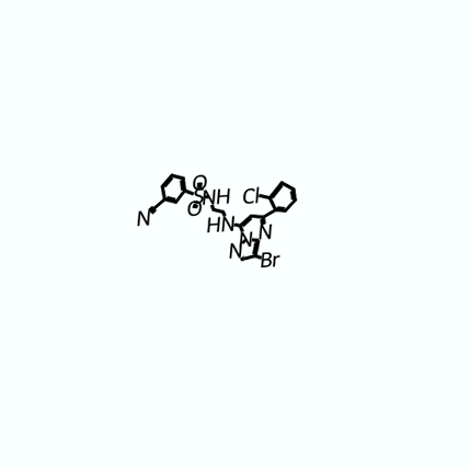 N#Cc1cccc(S(=O)(=O)NCCNc2cc(-c3ccccc3Cl)nc3c(Br)cnn23)c1